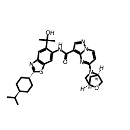 CC(C)[C@H]1CC[C@H](c2nc3cc(C(C)(C)O)c(NC(=O)c4cnn5ccc(N6C[C@H]7C[C@@H]6CO7)nc45)cc3s2)CC1